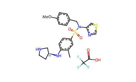 COc1ccc(CN(c2cscn2)S(=O)(=O)c2ccc(N[C@H]3CCNC3)c(C)c2)cc1.O=C(O)C(F)(F)F